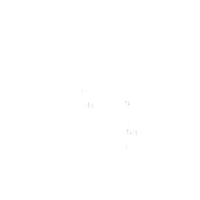 CC(NC(=O)c1cccc2c1N(Cc1cccc(Cl)c1)CC2)c1ccc(C(=O)O)cc1